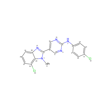 CCCn1c(-c2cnc(Nc3ccc(Cl)cc3)nc2)nc2cccc(Cl)c21